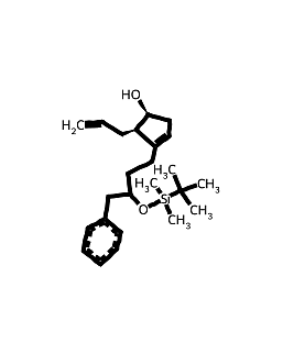 C=CC[C@@H]1C(CCC(Cc2ccccc2)O[Si](C)(C)C(C)(C)C)=CC[C@@H]1O